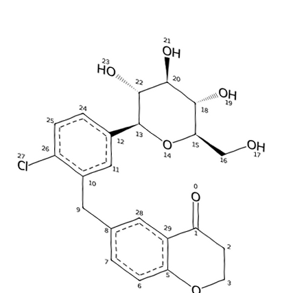 O=C1CCOc2ccc(Cc3cc([C@@H]4O[C@H](CO)[C@@H](O)[C@H](O)[C@H]4O)ccc3Cl)cc21